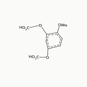 COc1ccc(OC(=O)O)cc1OC(=O)O